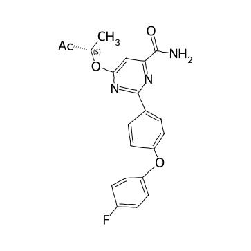 CC(=O)[C@H](C)Oc1cc(C(N)=O)nc(-c2ccc(Oc3ccc(F)cc3)cc2)n1